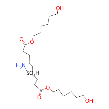 NS(=O)(=O)O.O=C(CCCCCCCC(=O)OCCCCCCO)OCCCCCCO